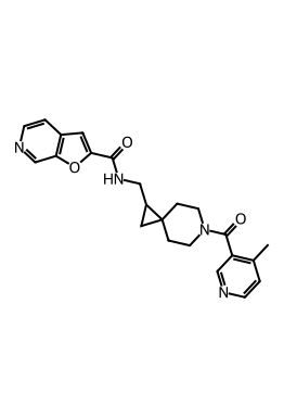 Cc1ccncc1C(=O)N1CCC2(CC1)CC2CNC(=O)c1cc2ccncc2o1